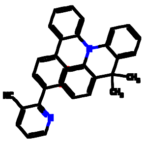 CC1(C)c2ccccc2N(c2ccccc2-c2ccc(-c3ncccc3C#N)cc2)c2ccccc21